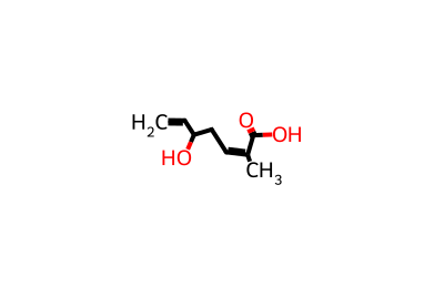 C=CC(O)CC=C(C)C(=O)O